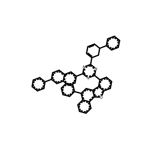 C1=CC(c2ccccc2)CC(c2nc(-c3ccc4cc(-c5ccccc5)ccc4c3)nc(-c3cccc4oc5c6ccccc6c(-c6ccccc6)cc5c34)n2)=C1